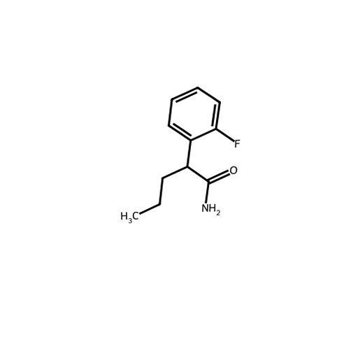 CCCC(C(N)=O)c1ccccc1F